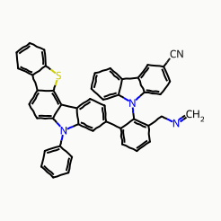 C=NCc1cccc(-c2ccc3c4c5sc6ccccc6c5ccc4n(-c4ccccc4)c3c2)c1-n1c2ccccc2c2cc(C#N)ccc21